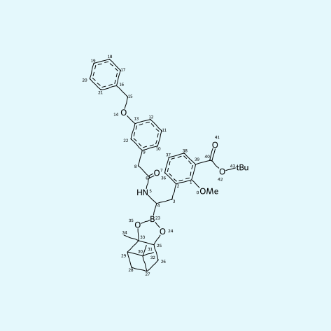 COc1c(CC(NC(=O)Cc2cccc(OCc3ccccc3)c2)B2OC3CC4CC(C4(C)C)C3(C)O2)cccc1C(=O)OC(C)(C)C